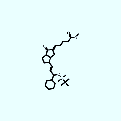 COC(=O)CCCC=C1CC2C(C=CC(O[Si](C)(C)C(C)(C)C)C3CCCCC3)CCC2C1=O